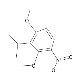 COc1ccc([N+](=O)[O-])c(OC)c1C(C)C